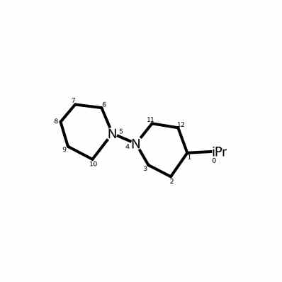 CC(C)C1CCN(N2CCCCC2)CC1